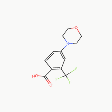 O=C(O)c1ccc(N2CCOCC2)cc1C(F)(F)F